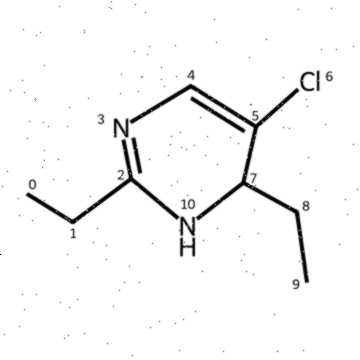 CCC1=NC=C(Cl)C(CC)N1